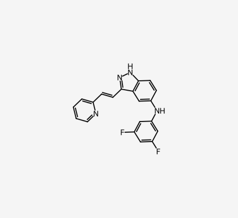 Fc1cc(F)cc(Nc2ccc3[nH]nc(/C=C/c4ccccn4)c3c2)c1